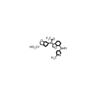 CCCN(c1ccc(C)nc1)c1cccc2c1OC[C@H]2N(C(=O)C(F)(F)F)c1ccc2c(c1)OC[C@H]2CC(=O)O